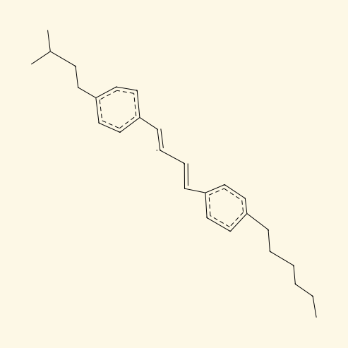 CCCCCCc1ccc(C=C[C]=Cc2ccc(CCC(C)C)cc2)cc1